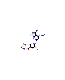 CCNc1cc(Nc2ncc(C(=O)N3CCOCC3)cc2OC)nc2[nH]cc(C#N)c12